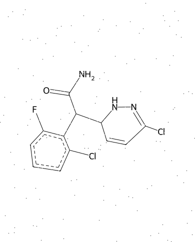 NC(=O)C(c1c(F)cccc1Cl)C1C=CC(Cl)=NN1